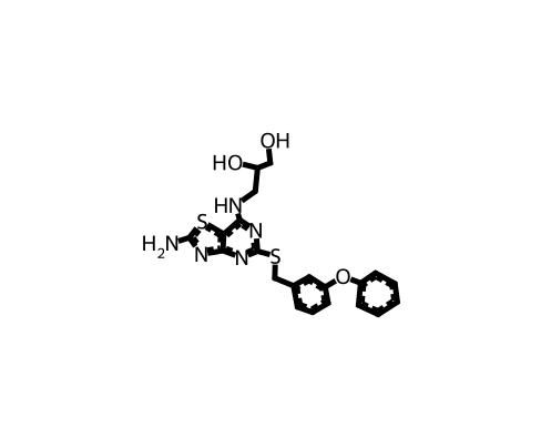 Nc1nc2nc(SCc3cccc(Oc4ccccc4)c3)nc(NCC(O)CO)c2s1